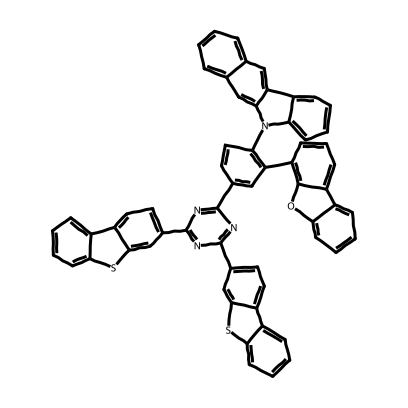 c1ccc2cc3c(cc2c1)c1ccccc1n3-c1ccc(-c2nc(-c3ccc4c(c3)sc3ccccc34)nc(-c3ccc4c(c3)sc3ccccc34)n2)cc1-c1cccc2c1oc1ccccc12